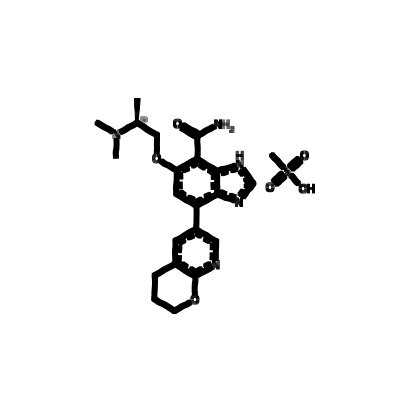 CS(=O)(=O)O.C[C@@H](COc1cc(-c2cnc3c(c2)CCCO3)c2nc[nH]c2c1C(N)=O)N(C)C